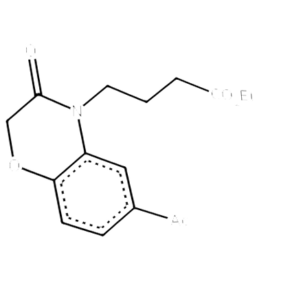 CCOC(=O)CCCN1C(=O)COc2ccc(C(C)=O)cc21